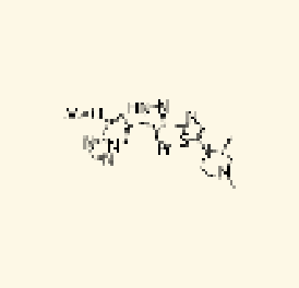 COc1cc(-c2[nH]nc(-c3ncc(N4CCN(C)C[C@@H]4C)s3)c2C(C)C)cn2ncnc12